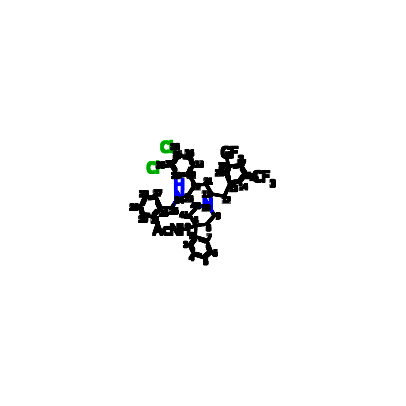 CC(=O)NC1(c2ccccc2)CCN(C(Cc2cc(C(F)(F)F)cc(C(F)(F)F)c2)CC(CNCc2ccccc2)c2ccc(Cl)c(Cl)c2)CC1